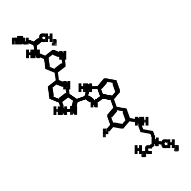 C=C(CCCC)Nc1cncc(-c2ccc3[nH]nc(-c4nc5c(-c6cc(F)cc(NCCN(C)C)c6)cccc5[nH]4)c3n2)c1